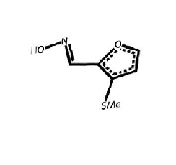 CSc1ccoc1C=NO